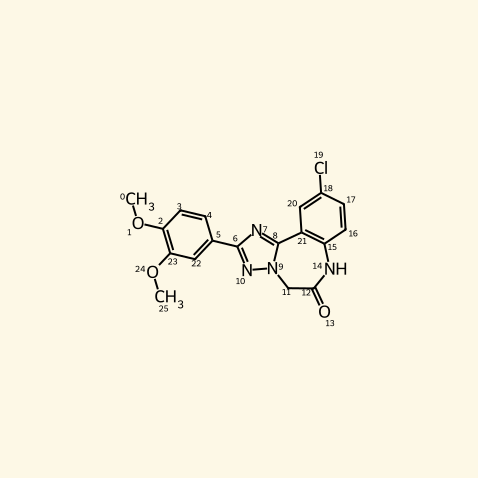 COc1ccc(-c2nc3n(n2)CC(=O)Nc2ccc(Cl)cc2-3)cc1OC